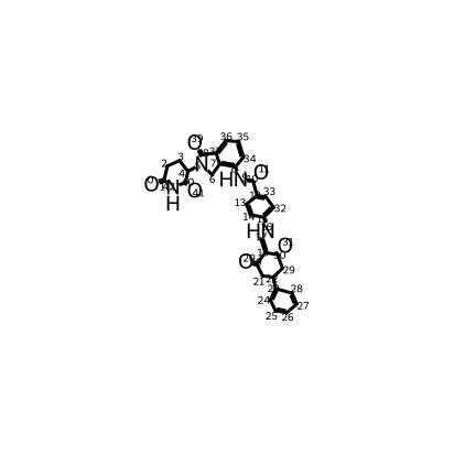 O=C1CCC(N2Cc3c(NC(=O)c4ccc(NC=C5C(=O)CC(c6ccccc6)CC5=O)cc4)cccc3C2=O)C(=O)N1